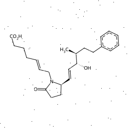 C[C@@H](CCc1ccccc1)[C@H](O)C=C[C@H]1CCC(=O)N1CC=CCCCC(=O)O